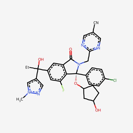 CCC(O)(c1cc(F)c2c(c1)C(=O)N(Cc1ncc(C#N)cn1)[C@@]2(OC1CCC(O)C1)c1ccc(Cl)cc1)c1cnn(C)c1